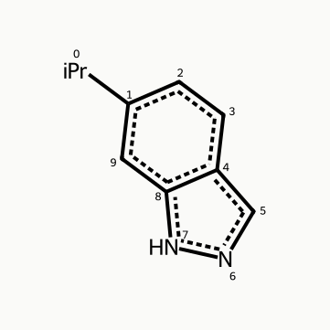 CC(C)c1ccc2cn[nH]c2c1